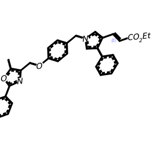 CCOC(=O)/C=C/c1cn(Cc2ccc(OCc3nc(-c4ccccc4)oc3C)cc2)cc1-c1ccccc1